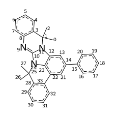 CC1(C)c2ccccc2N=C2N1c1cc(-c3ccccc3)cc3c1N2C(C)(C)c1ccccc1-3